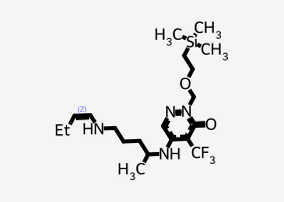 CC/C=C\NCCCC(C)Nc1cnn(COCC[Si](C)(C)C)c(=O)c1C(F)(F)F